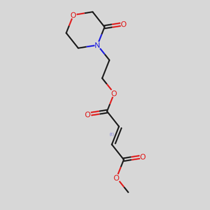 COC(=O)/C=C/C(=O)OCCN1CCOCC1=O